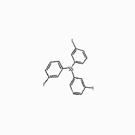 Ic1ccc[c]([Sb]([c]2cccc(I)c2)[c]2cccc(I)c2)c1